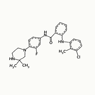 Cc1c(Cl)cccc1Nc1ccccc1C(=O)Nc1ccc(N2CCNC(C)(C)C2)c(F)c1